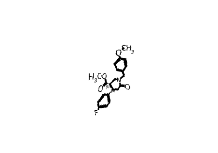 COC(=O)[C@@H]1CN(Cc2ccc(OC)cc2)C(=O)C[C@H]1c1ccc(F)cc1